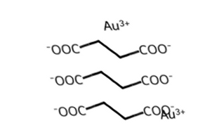 O=C([O-])CCC(=O)[O-].O=C([O-])CCC(=O)[O-].O=C([O-])CCC(=O)[O-].[Au+3].[Au+3]